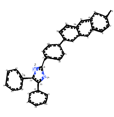 Cc1ccc2cc3cc(-c4ccc(-c5nc(-c6ccccc6)c(-c6ccccc6)[nH]5)cc4)ccc3cc2c1